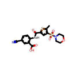 Cc1sc(C(=O)[AsH]c2ccc(C#N)cc2C(=O)O)cc1S(=O)(=O)N1CCOCC1